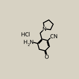 Cl.N#CC1=CC(=O)CC(N)=C1CN1CCCC1